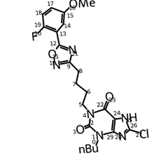 CCCCn1c(=O)n(CCCCc2noc(-c3cc(OC)ccc3F)n2)c(=O)c2[nH]c(Cl)nc21